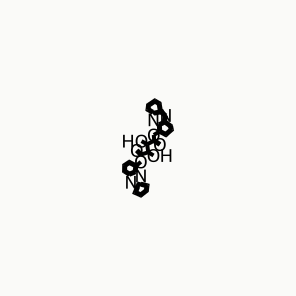 O=C(Oc1cccc2nc3ccccc3nc12)C(O)C(O)C(=O)Oc1cccc2nc3ccccc3nc12